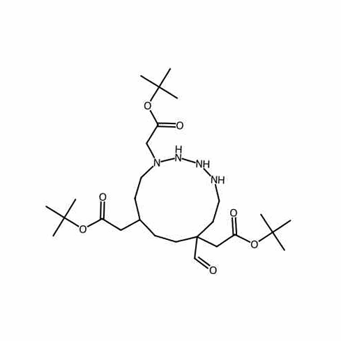 CC(C)(C)OC(=O)CC1CCN(CC(=O)OC(C)(C)C)NNNCCC(C=O)(CC(=O)OC(C)(C)C)CC1